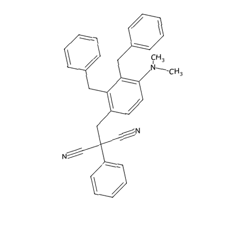 CN(C)c1ccc(CC(C#N)(C#N)c2ccccc2)c(Cc2ccccc2)c1Cc1ccccc1